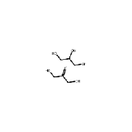 O=C(CO)CO.OCC(O)CO